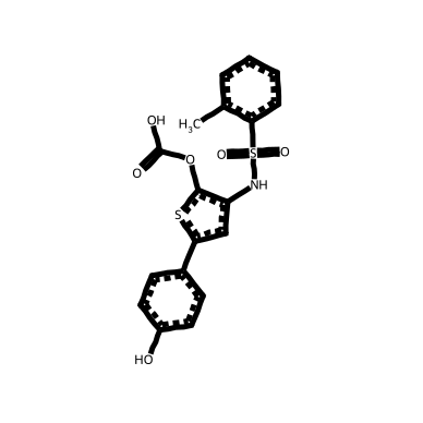 Cc1ccccc1S(=O)(=O)Nc1cc(-c2ccc(O)cc2)sc1OC(=O)O